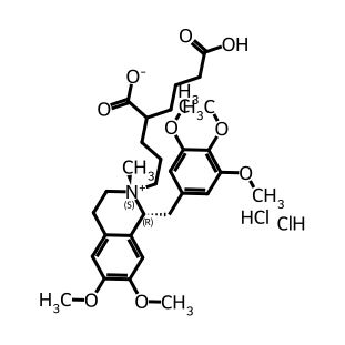 COc1cc2c(cc1OC)[C@@H](Cc1cc(OC)c(OC)c(OC)c1)[N@@+](C)(CCCC(CCCC(=O)O)C(=O)[O-])CC2.Cl.Cl